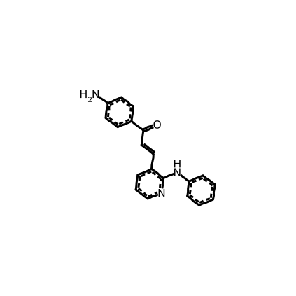 Nc1ccc(C(=O)C=Cc2cccnc2Nc2ccccc2)cc1